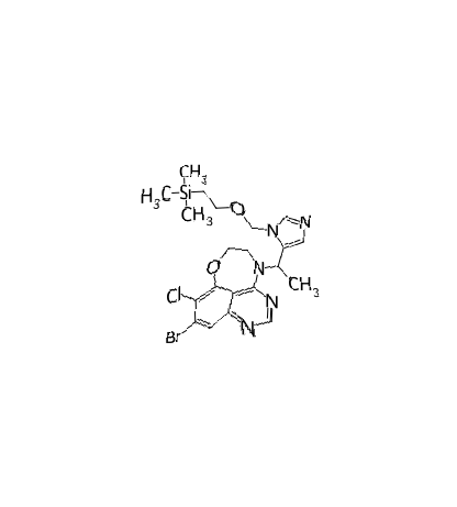 CC(c1cncn1COCC[Si](C)(C)C)N1CCOc2c(Cl)c(Br)cc3ncnc1c23